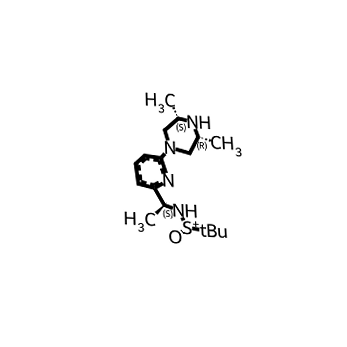 C[C@@H]1CN(c2cccc([C@H](C)N[S+]([O-])C(C)(C)C)n2)C[C@H](C)N1